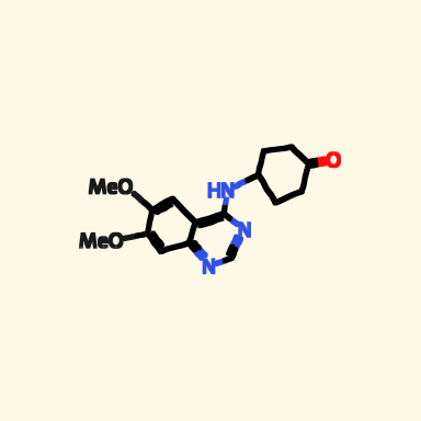 COc1cc2ncnc(NC3CCC(=O)CC3)c2cc1OC